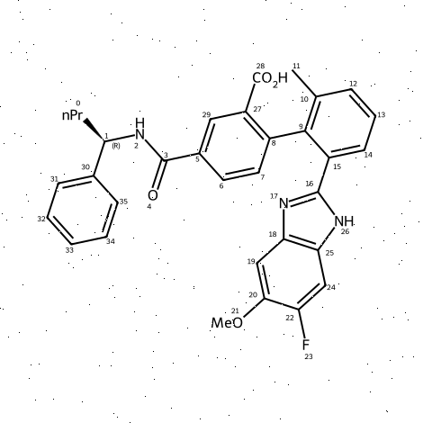 CCC[C@@H](NC(=O)c1ccc(-c2c(C)cccc2-c2nc3cc(OC)c(F)cc3[nH]2)c(C(=O)O)c1)c1ccccc1